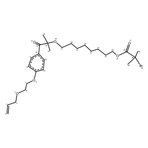 C=CCOCCOc1ccc(C(=O)C(C)(C)OCCCCCCCCOC(=O)C(C)(C)Br)cc1